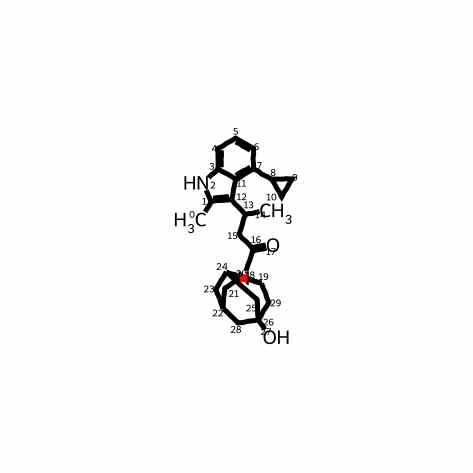 Cc1[nH]c2cccc(C3CC3)c2c1C(C)CC(=O)N1C2CCC3CC1CC(O)(C3)C2